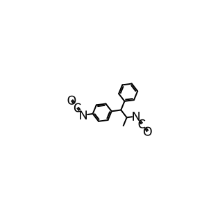 CC(N=C=O)C(c1ccccc1)c1ccc(N=C=O)cc1